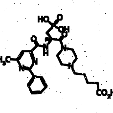 Cc1cc(C(=O)N[C@@H](CP(=O)(O)O)C(=O)N2CCN(CCCCC(=O)O)CC2)nc(-c2ccccc2)n1